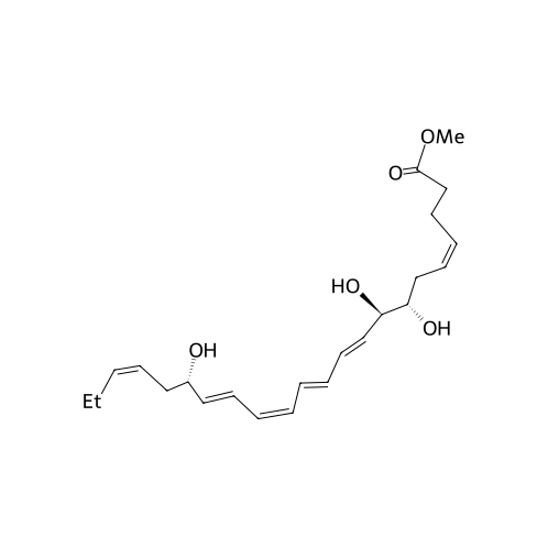 CC/C=C\C[C@H](O)/C=C/C=C\C=C\C=C\[C@@H](O)[C@@H](O)C/C=C\CCC(=O)OC